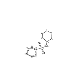 O=S(=O)(NC1CCCCC1)c1c[c]ccc1